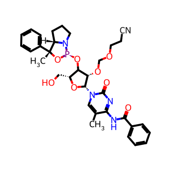 Cc1cn([C@@H]2O[C@H](CO)C(O[P@@]3O[C@](C)(c4ccccc4)[C@@H]4CCCN43)[C@@H]2OCOCCC#N)c(=O)nc1NC(=O)c1ccccc1